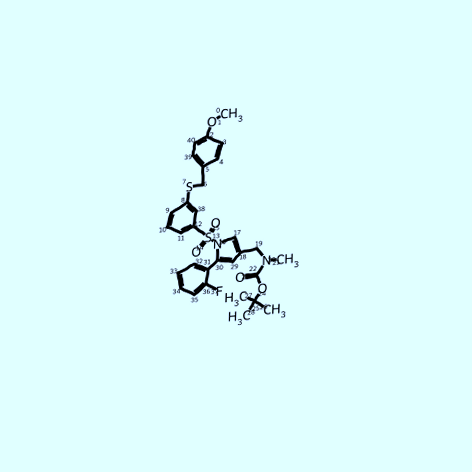 COc1ccc(CSc2cccc(S(=O)(=O)n3cc(CN(C)C(=O)OC(C)(C)C)cc3-c3ccccc3F)c2)cc1